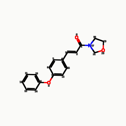 O=C(/C=C/c1ccc(Oc2ccccc2)cc1)N1CCOC1